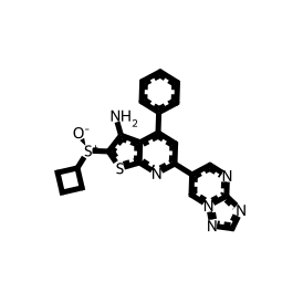 Nc1c([S@+]([O-])C2CCC2)sc2nc(-c3cnc4ncnn4c3)cc(-c3ccccc3)c12